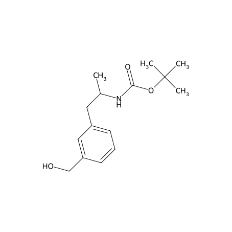 CC(Cc1cccc(CO)c1)NC(=O)OC(C)(C)C